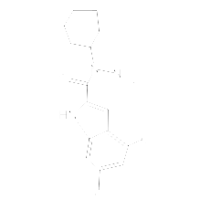 NN(C(=O)c1cc2c(Cl)cc(Cl)cc2[nH]1)C1CCCCC1